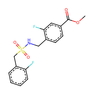 COC(=O)c1ccc(CNS(=O)(=O)Cc2ccccc2F)c(F)c1